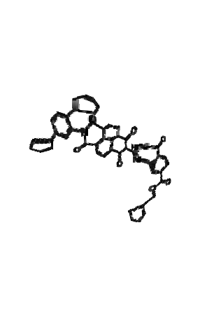 O=C(OCc1ccccc1)c1ccc2c(=O)[nH]c(C3C(=O)c4ccc5c6c(ccc(c46)C3=O)C(=O)N(c3cc(C4=CCC=C4)ccc3C3=CC=CC3)C5=O)nc2c1